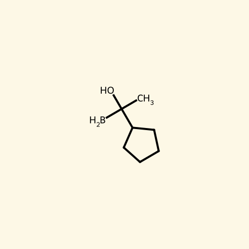 BC(C)(O)C1CCCC1